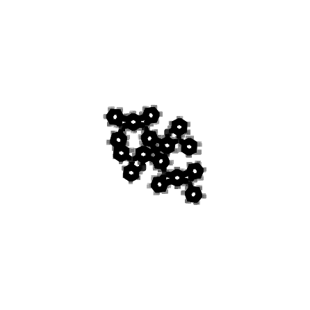 c1ccc(B2c3ccccc3Oc3c2ccc2c3-c3cc(-n4c5ccccc5c5cc6c(cc54)c4ccccc4n6-c4ccccc4)ccc3C23c2ccc(-n4c5ccccc5c5cc6c7ccccc7n(-c7ccccc7)c6cc54)cc2-c2c3ccc3c2Oc2ccccc2B3c2ccccc2)cc1